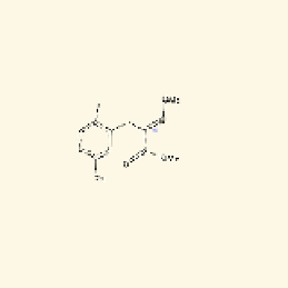 CO/N=C(\Cc1cc(O)ccc1C)C(=O)OC